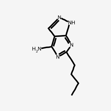 CCCCc1nc(N)c2cn[nH]c2n1